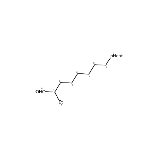 CCCCCCCCCCCCCC([C]=O)CC